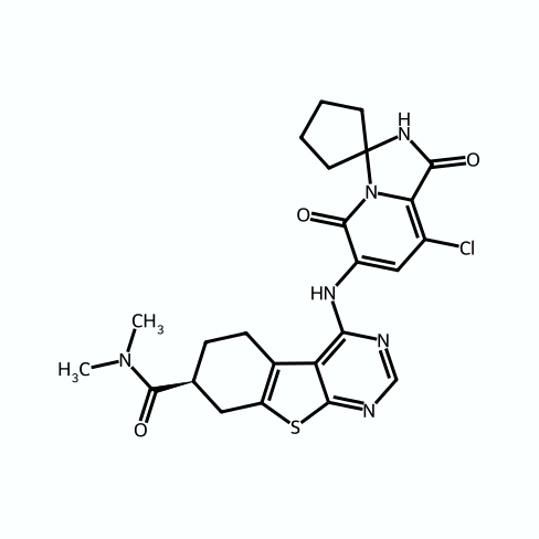 CN(C)C(=O)[C@H]1CCc2c(sc3ncnc(Nc4cc(Cl)c5n(c4=O)C4(CCCC4)NC5=O)c23)C1